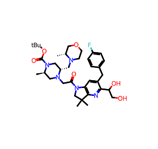 C[C@@H]1COCCN1C[C@H]1CN(C(=O)OC(C)(C)C)[C@H](C)CN1CC(=O)N1CC(C)(C)c2nc(C(O)CO)c(Cc3ccc(F)cc3)cc21